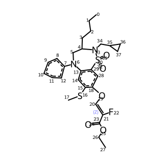 CCCCC1CN(c2ccccc2)c2cc(SC)c(O/C=C(\F)C(=O)OCC)cc2S(=O)(=O)N1CC1CC1